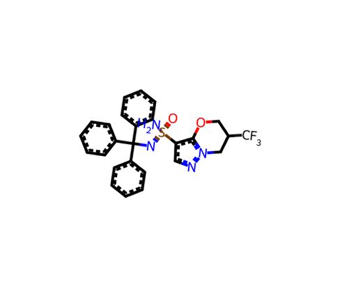 NS(=O)(=NC(c1ccccc1)(c1ccccc1)c1ccccc1)c1cnn2c1OCC(C(F)(F)F)C2